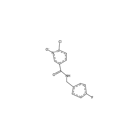 O=C(NCc1ccc(F)cc1)c1ccc(Cl)[n+]([O-])c1